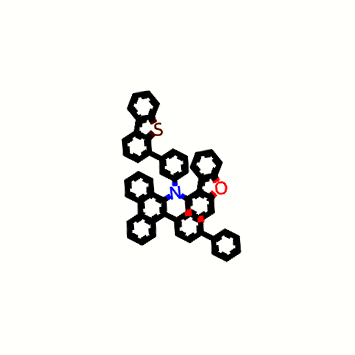 c1ccc(-c2ccc(-c3c(N(c4cccc(-c5cccc6c5sc5ccccc56)c4)c4cccc5oc6ccccc6c45)c4ccccc4c4ccccc34)cc2)cc1